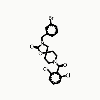 O=C1OC2(CCN(C(=O)c3c(Cl)cccc3Cl)CC2)CN1Cc1cccc(Br)c1